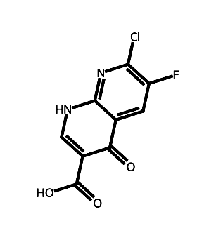 O=C(O)c1c[nH]c2nc(Cl)c(F)cc2c1=O